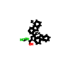 CC(CCCO)(c1cccc2c1Cc1ccccc1-2)c1cccc2c1Cc1ccccc1-2.Cl.Cl.[Zr]